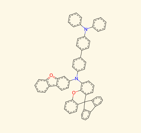 c1ccc(N(c2ccccc2)c2ccc(-c3ccc(N(c4ccc5c(c4)oc4ccccc45)c4cccc5c4Oc4ccccc4C54c5ccccc5-c5ccccc54)cc3)cc2)cc1